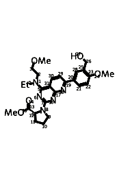 CCN(CCOC)c1nc(N2CCC[C@H]2C(=O)OC)nc2nc(-c3ccc(OC)c(CO)c3)ccc12